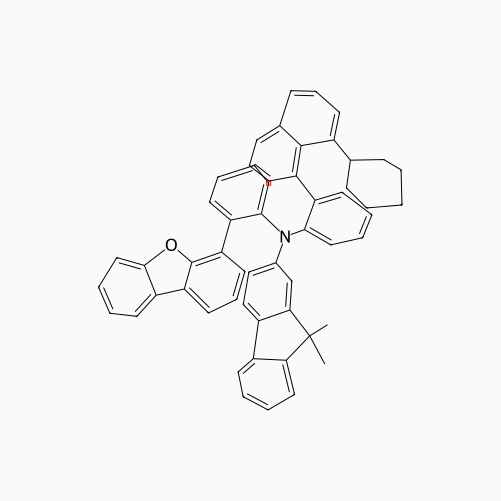 CC1(C)c2ccccc2-c2ccc(N(c3ccccc3-c3cccc4c3oc3ccccc34)c3ccccc3-c3cccc4cccc(C5CCCCC5)c34)cc21